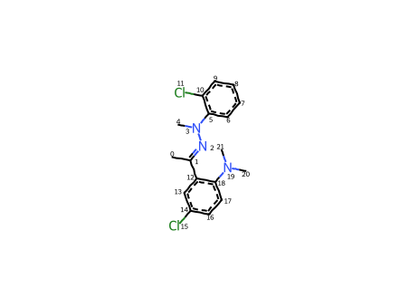 C/C(=N\N(C)c1ccccc1Cl)c1cc(Cl)ccc1N(C)C